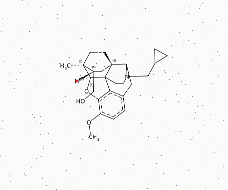 COc1ccc2c3c1O[C@@H]1C34CCN(CC3CC3)C(C2)[C@]42CC[C@@]1(C)[C@@H](CO)C2